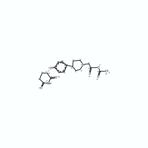 O=C1CC[C@H](Oc2ccc(C3CCN(CC(=O)OC(=O)C(F)(F)F)CC3)cc2)C(=O)N1